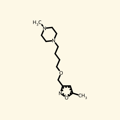 Cc1cc(COCCCCN2CCN(C)CC2)no1